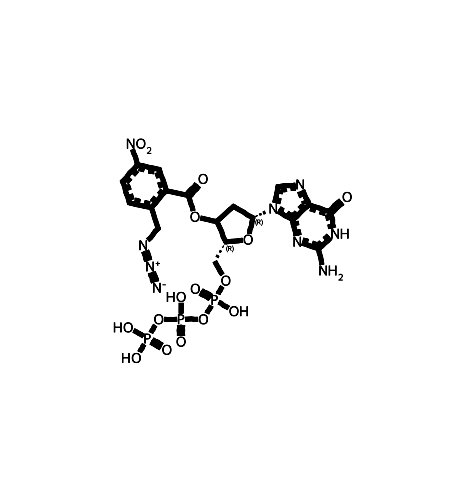 [N-]=[N+]=NCc1ccc([N+](=O)[O-])cc1C(=O)OC1C[C@H](n2cnc3c(=O)[nH]c(N)nc32)O[C@@H]1COP(=O)(O)OP(=O)(O)OP(=O)(O)O